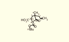 C=CCC1(C)C[C@@H](C(=O)O)N(C(=O)OC(C)(C)C)C1=O